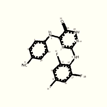 N#Cc1ccc(Nc2nc(Nc3c(F)cc(I)cc3F)n[nH]c2=O)cc1